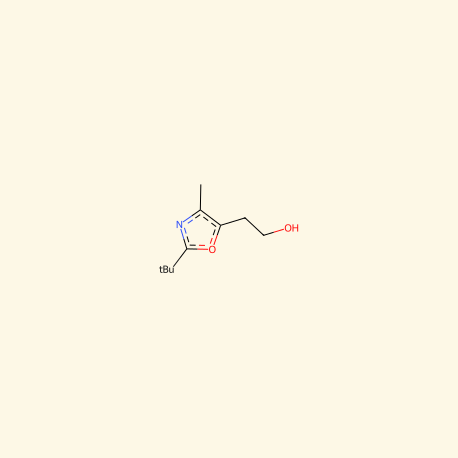 Cc1nc(C(C)(C)C)oc1CCO